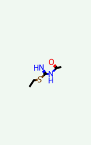 CCSC(=N)NC(C)=O